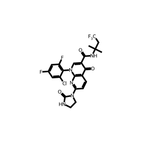 CC(C)(CC(F)(F)F)NC(=O)c1cn(-c2c(F)cc(F)cc2Cl)c2nc(N3CCNC3=O)ccc2c1=O